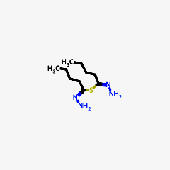 CCCC/C(=N/N)S/C(CCCC)=N\N